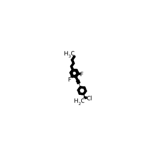 C=C(Cl)[C@H]1CC[C@H](C#Cc2c(F)cc(CCCCC)cc2F)CC1